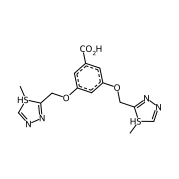 C[SH]1C=NN=C1COc1cc(OCC2=NN=C[SH]2C)cc(C(=O)O)c1